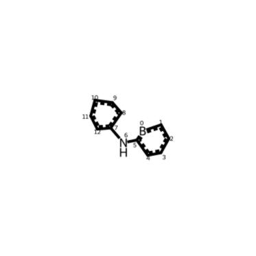 b1ccccc1Nc1ccccc1